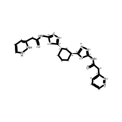 O=C(CC1=CC=CNN1)Nc1nnc([C@H]2CCC[C@H](c3nnc(NC(=O)Cc4cccnn4)s3)C2)s1